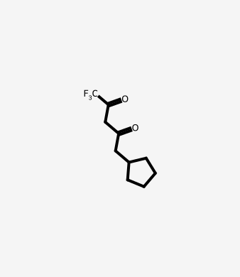 O=C(CC(=O)C(F)(F)F)CC1CCCC1